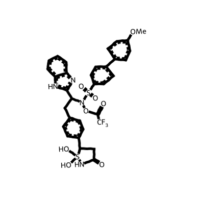 COc1ccc(-c2ccc(S(=O)(=O)N(OC(=O)C(F)(F)F)C(Cc3ccc(C4CC(=O)NS4(O)O)cc3)c3nc4ccccc4[nH]3)cc2)cc1